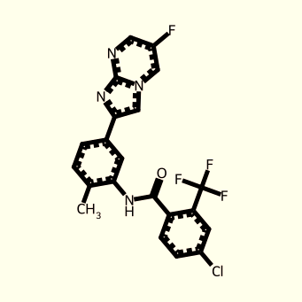 Cc1ccc(-c2cn3cc(F)cnc3n2)cc1NC(=O)c1ccc(Cl)cc1C(F)(F)F